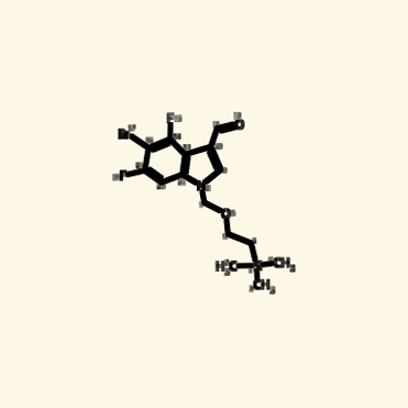 C[Si](C)(C)CCOCn1cc(C=O)c2c(F)c(Br)c(F)cc21